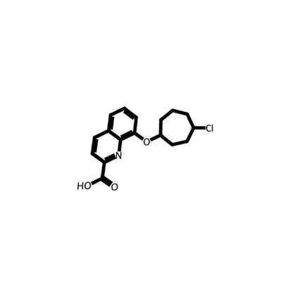 O=C(O)c1ccc2cccc(OC3CCCC(Cl)CC3)c2n1